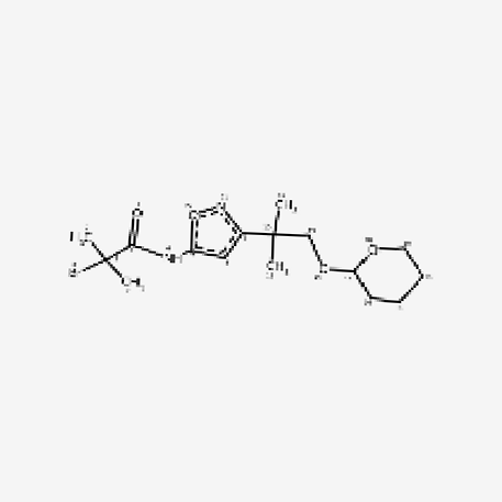 CC(C)(Br)C(=O)Nc1cc(C(C)(C)COC2CCCCO2)no1